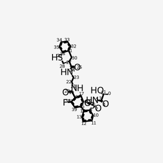 C[C@H](O)C(=O)NS(=O)(=O)c1ccccc1-c1ccc(C(=O)NCCNC(=O)[C@@H](CS)Cc2ccccc2)c(F)c1